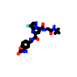 CC(C)(C)NC(=O)CNC(=O)c1cc(C(=O)NCc2ccc3oc(=O)[nH]c3c2)nc2c(F)cnn12